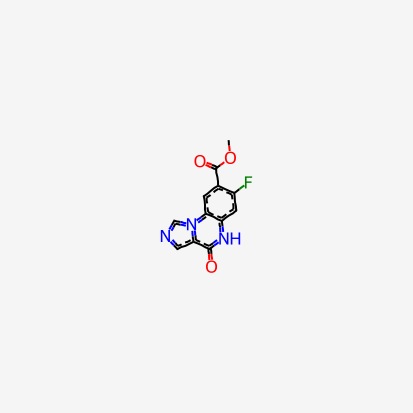 COC(=O)c1cc2c(cc1F)[nH]c(=O)c1cncn12